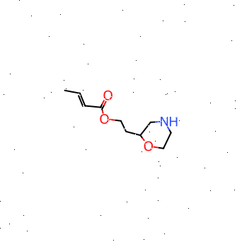 CC=CC(=O)OCCC1CNCCO1